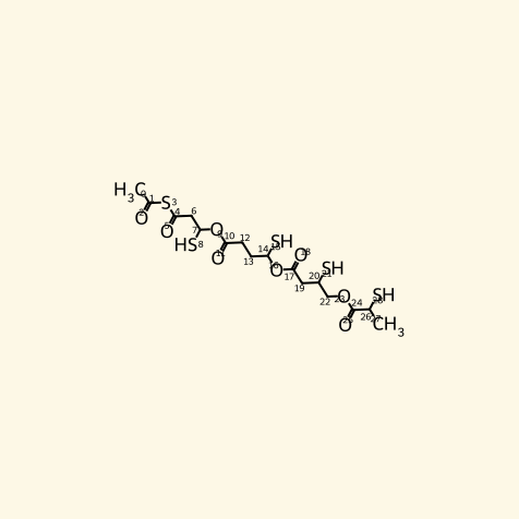 CC(=O)SC(=O)CC(S)OC(=O)CCC(S)OC(=O)CC(S)COC(=O)C(C)S